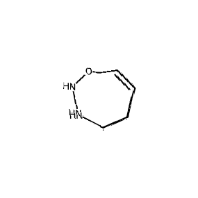 [CH]1CC=CONN1